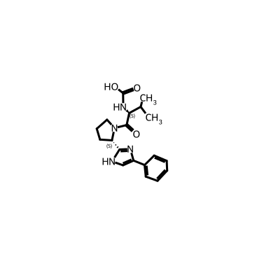 CC(C)[C@H](NC(=O)O)C(=O)N1CCC[C@H]1c1nc(-c2ccccc2)c[nH]1